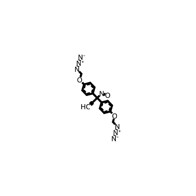 C#CC(N=O)(c1ccc(OCN=[N+]=[N-])cc1)c1ccc(OCN=[N+]=[N-])cc1